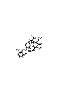 COC(=O)C(Cc1ccc(OCc2c(Cl)cccc2Cl)c(Cl)n1)NC(=O)C1CSCN1C(=O)OC(C)(C)C